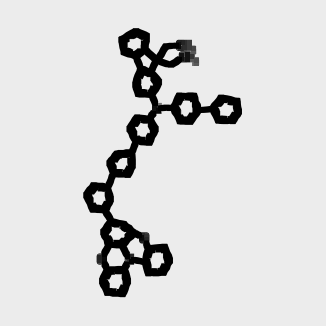 CCC1(CC)c2ccccc2-c2ccc(N(c3ccc(-c4ccccc4)cc3)c3ccc(-c4ccc(-c5cccc(-c6cc7c8c(c6)Oc6ccccc6N8c6ccccc6O7)c5)cc4)cc3)cc21